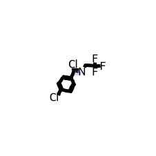 FC(F)(F)C/N=C(\Cl)c1ccc(Cl)cc1